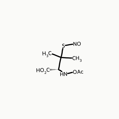 CC(=O)ON[C@H](C(=O)O)C(C)(C)SN=O